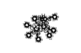 C[C@H]1O[C@@H](O[C@H]2[C@H](OCc3ccccc3)[C@@H](OCc3ccccc3)[C@@H](O[C@@H]3[C@H]4CON[C@H]4C[C@H]3OCc3ccccc3)O[C@@H]2COCc2ccccc2)[C@H](OCc2ccccc2)[C@@H](OCc2ccccc2)[C@@H]1OCc1ccccc1